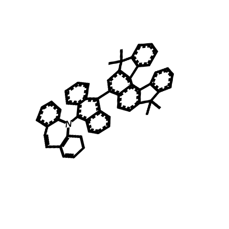 CC1(C)c2ccccc2-c2c1ccc1c(-c3c4ccccc4c(N4C5=C(C=CCC5)C=Cc5ccccc54)c4ccccc34)cc3c(c21)-c1ccccc1C3(C)C